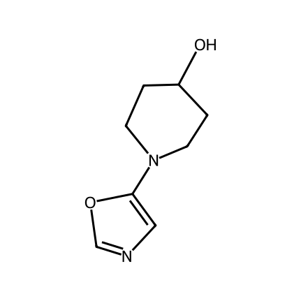 OC1CCN(c2cnco2)CC1